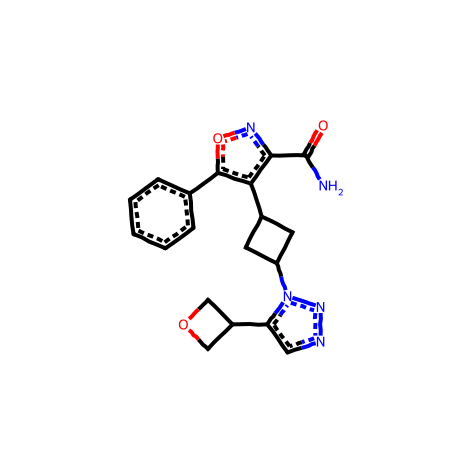 NC(=O)c1noc(-c2ccccc2)c1C1CC(n2nncc2C2COC2)C1